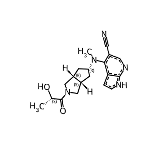 C[C@H](O)C(=O)N1C[C@H]2C[C@@H](N(C)c3c(C#N)cnc4[nH]ccc34)C[C@H]2C1